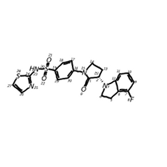 O=C1[C@@H](N2CCc3c(F)cccc32)CCN1c1ccc(S(=O)(=O)Nc2nccs2)cc1